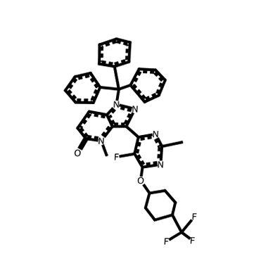 Cc1nc(OC2CCC(C(F)(F)F)CC2)c(F)c(-c2nn(C(c3ccccc3)(c3ccccc3)c3ccccc3)c3ccc(=O)n(C)c23)n1